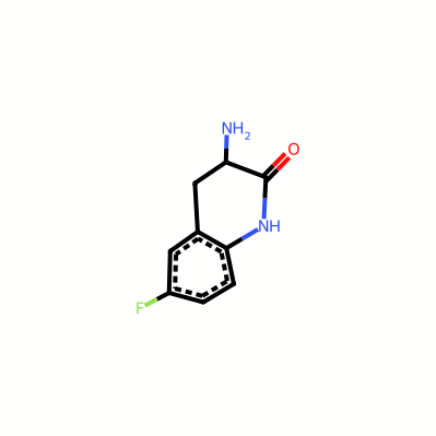 NC1Cc2cc(F)ccc2NC1=O